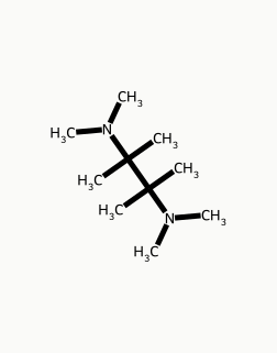 CN(C)C(C)(C)C(C)(C)N(C)C